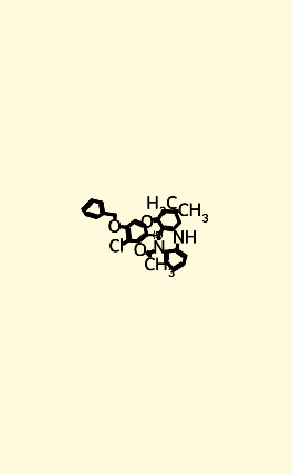 CC(=O)N1c2ccccc2NC2=C(C(=O)CC(C)(C)C2)[C@@H]1c1ccc(OCc2ccccc2)c(Cl)c1